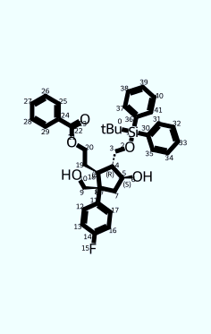 CC(C)(C)[Si](OC[C@@H]1[C@@H](O)C[C@](CO)(c2ccc(F)cc2)[C@H]1CCOC(=O)c1ccccc1)(c1ccccc1)c1ccccc1